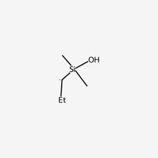 CC[CH][Si](C)(C)O